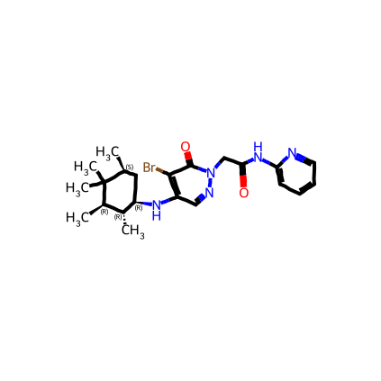 C[C@@H]1[C@@H](C)C(C)(C)[C@@H](C)C[C@H]1Nc1cnn(CC(=O)Nc2ccccn2)c(=O)c1Br